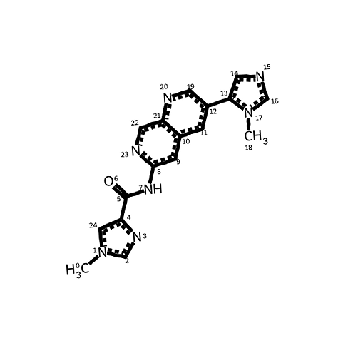 Cn1cnc(C(=O)Nc2cc3cc(-c4cncn4C)cnc3cn2)c1